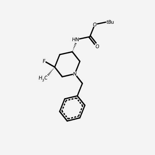 CC(C)(C)OC(=O)N[C@@H]1CN(Cc2ccccc2)C[C@@](C)(F)C1